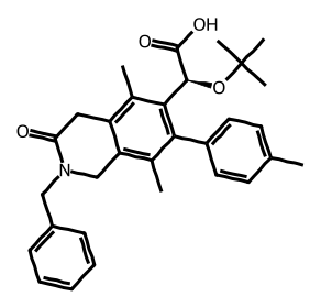 Cc1ccc(-c2c(C)c3c(c(C)c2[C@H](OC(C)(C)C)C(=O)O)CC(=O)N(Cc2ccccc2)C3)cc1